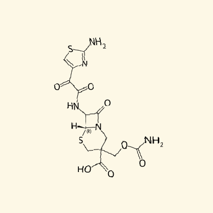 NC(=O)OCC1(C(=O)O)CS[C@@H]2C(NC(=O)C(=O)c3csc(N)n3)C(=O)N2C1